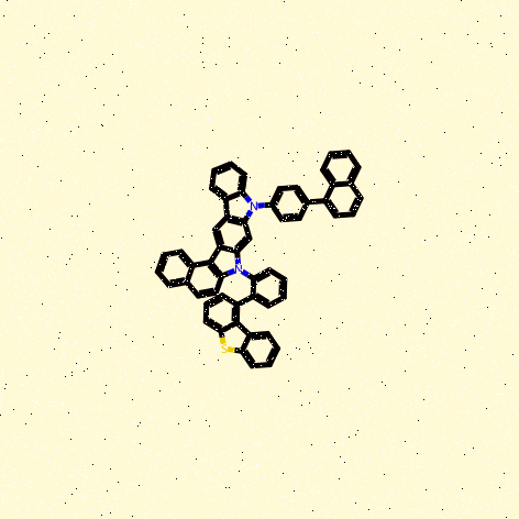 c1ccc(-n2c3cc4c(cc3c3c5ccccc5ccc32)c2ccccc2n4-c2ccc(-c3cccc4ccccc34)cc2)c(-c2cccc3sc4ccccc4c23)c1